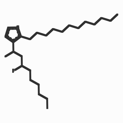 CCCCCCCCCCCCc1sccc1C(C)CC(F)CCCCCC